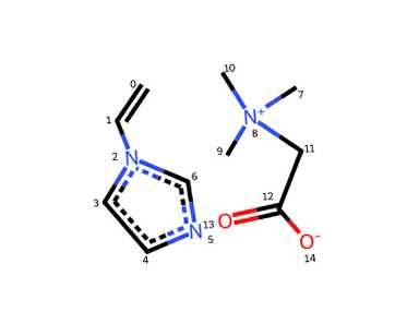 C=Cn1ccnc1.C[N+](C)(C)CC(=O)[O-]